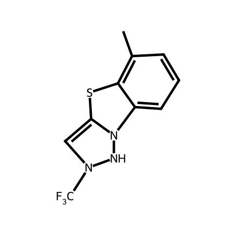 Cc1cccc2c1SC1=CN(C(F)(F)F)NN12